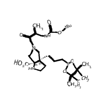 CC(NC(=O)OC(C)(C)C)C(=O)N1C[C@@]2(CCCB3OC(C)(C)C(C)(C)O3)CCN[C@@]2(C(=O)O)C1